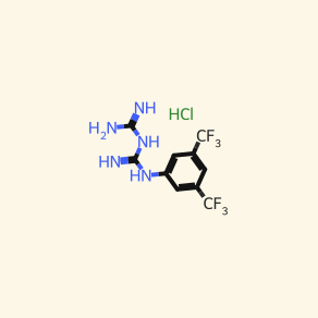 Cl.N=C(N)NC(=N)Nc1cc(C(F)(F)F)cc(C(F)(F)F)c1